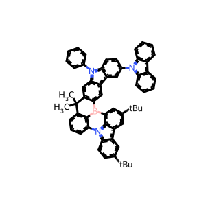 CC(C)(C)c1ccc2c(c1)c1cc(C(C)(C)C)cc3c1n2-c1cccc2c1B3c1cc3c4cc(-n5c6ccccc6c6ccccc65)ccc4n(-c4ccccc4)c3cc1C2(C)C